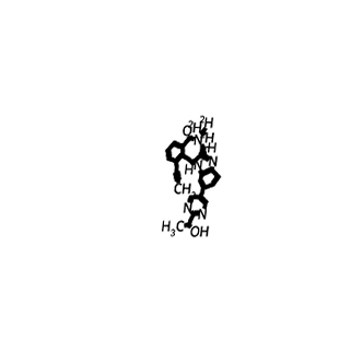 [2H]C([2H])([2H])N1C(=O)c2cccc(C#CC)c2[C@H]2C[C@@H]1c1nc3ccc(-c4cnc(C(C)O)nc4)cc3n12